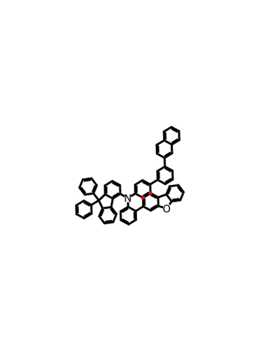 c1ccc(C2(c3ccccc3)c3ccccc3-c3c(N(c4ccc(-c5cccc(-c6ccc7ccccc7c6)c5)cc4)c4ccccc4-c4ccc5c(c4)oc4ccccc45)cccc32)cc1